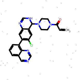 C=CC(=O)N1CCN(C2NC=Nc3cc(-c4cccc5cncnc45)c(Cl)cc32)CC1